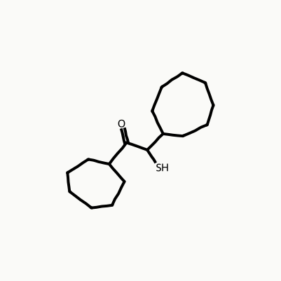 O=C(C1CCCCCC1)C(S)C1CCCCCCC1